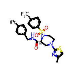 Cc1csc(N2CCN(S(=O)(=O)c3ccc(C(F)(F)F)cc3)[C@@H](C(=O)NCc3ccc(C(C)C)cc3)C2)n1